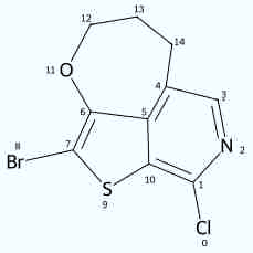 Clc1n[c]c2c3c(c(Br)sc13)OCCC2